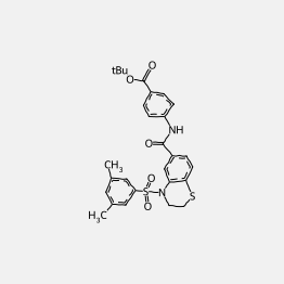 Cc1cc(C)cc(S(=O)(=O)N2CCSc3ccc(C(=O)Nc4ccc(C(=O)OC(C)(C)C)cc4)cc32)c1